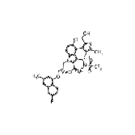 COC(=O)c1c(CN(C)S(=O)(=O)C(F)(F)F)c2c(-c3c(CO)nn(C)c3C)c(Cl)ccc2n1CCCOc1cc(C)cc2cc(F)ccc12